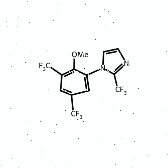 COc1c(-n2ccnc2C(F)(F)F)cc(C(F)(F)F)cc1C(F)(F)F